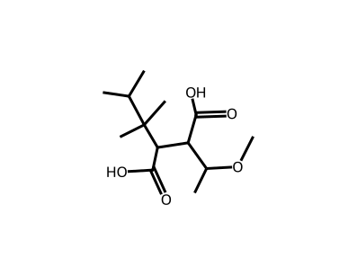 COC(C)C(C(=O)O)C(C(=O)O)C(C)(C)C(C)C